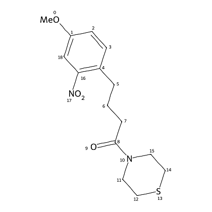 COc1ccc(CCCC(=O)N2CCSCC2)c([N+](=O)[O-])c1